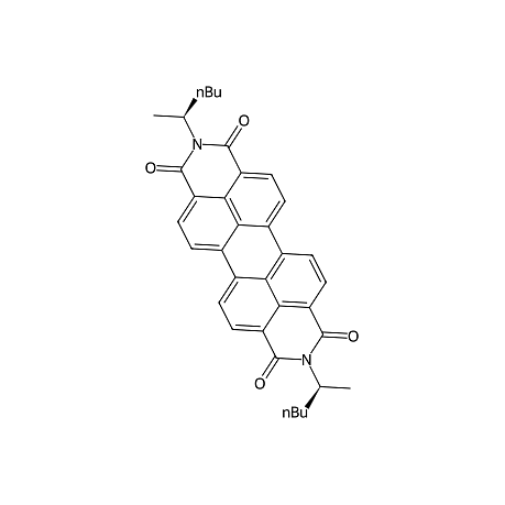 CCCC[C@H](C)N1C(=O)c2ccc3c4ccc5c6c(ccc(c7ccc(c2c37)C1=O)c64)C(=O)N([C@@H](C)CCCC)C5=O